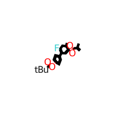 C=C(C)C(=O)OC1(C)C=CC(c2ccc(OC(=O)C(C)(C)C)cc2)=C(F)C1